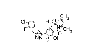 C[C@@H]1C[C@@H](C)N2C(=O)c3c(O)c(=O)c(-c4nnc(Cc5cccc(Cl)c5F)s4)cn3C[C@]2(C)O1